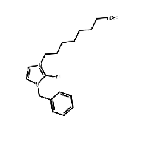 CCCCCCCCCCCCCCCCC[n+]1ccn(Cc2ccccc2)c1CC